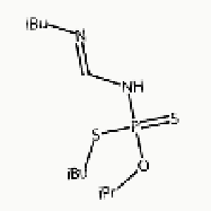 CCC(C)N=CNP(=S)(OC(C)C)SC(C)CC